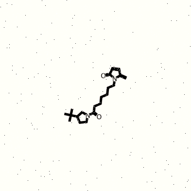 C=C1C=CC(=O)N1CCCCCCC(=O)N1CCC(C(C)(C)C)C1